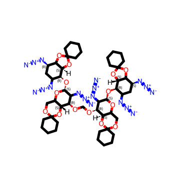 [N-]=[N+]=NC1C[C@H](N=[N+]=[N-])C2OC3(CCCCC3)O[C@H]2[C@@H]1O[C@H]1OC2COC3(CCCCC3)O[C@H]2[C@H](OCO[C@@H]2C(N=[N+]=[N-])[C@@H](O[C@@H]3C(N=[N+]=[N-])C[C@@H](N=[N+]=[N-])C4OC5(CCCCC5)O[C@H]43)OC3COC4(CCCCC4)O[C@H]32)C1N=[N+]=[N-]